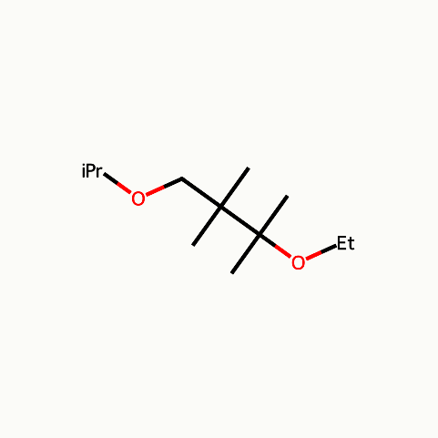 CCOC(C)(C)C(C)(C)COC(C)C